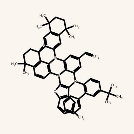 C=Cc1cc2c3c(c1)N(c1ccc(C(C)(C)C)cc1-c1ccccc1)c1c(oc4ccc(C)cc14)B3c1ccc3c4c1N2c1cc2c(cc1C4(C)CCC3(C)C)C(C)(C)CCC2(C)C